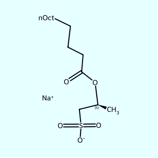 CCCCCCCCCCCC(=O)O[C@@H](C)CS(=O)(=O)[O-].[Na+]